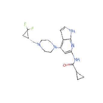 O=C(Nc1cc(N2CCN(C[C@@H]3CC3(F)F)CC2)c2cc[nH]c2n1)C1CC1